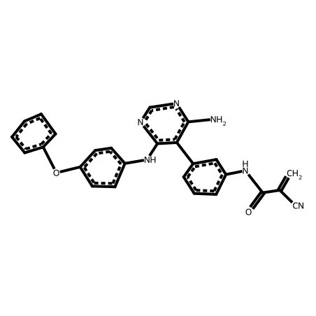 C=C(C#N)C(=O)Nc1cccc(-c2c(N)ncnc2Nc2ccc(Oc3ccccc3)cc2)c1